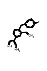 C=Cc1cc(/C(C=N)=C/N)ccc1Cc1ccc(F)cc1